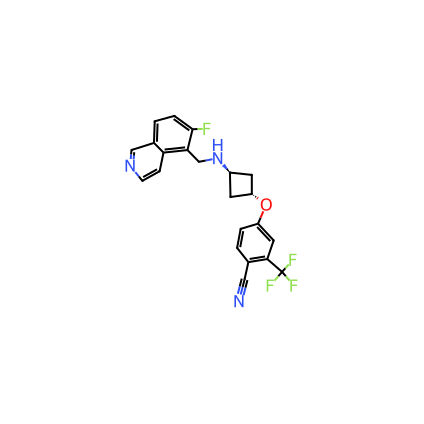 N#Cc1ccc(O[C@H]2C[C@H](NCc3c(F)ccc4cnccc34)C2)cc1C(F)(F)F